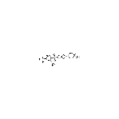 CC1(O)CCC(N2CC3(C2)CN(S(=O)(=O)c2cnc(C(F)(F)F)cc2C2CC2)C3)CC1